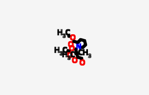 CCOC(=O)C1CCCCN1C(OC(C)=O)C(C)(C)C(=O)C=O